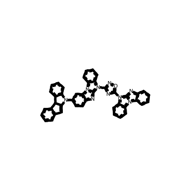 C1=C2C(c3ccccc31)c1ccccc1N2c1ccc2nc3n(-c4noc(-n5c6ccccc6n6c7ccccc7nc56)n4)c4ccccc4n3c2c1